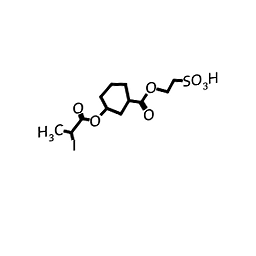 CC(I)C(=O)OC1CCCC(C(=O)OCCS(=O)(=O)O)C1